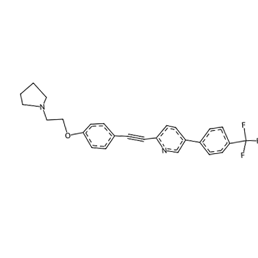 FC(F)(F)c1ccc(-c2ccc(C#Cc3ccc(OCCN4CCCC4)cc3)nc2)cc1